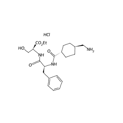 CCOC(=O)[C@H](CO)NC(=O)[C@H](Cc1ccccc1)NC(=O)[C@H]1CC[C@H](CN)CC1.Cl